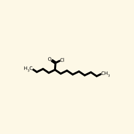 CCCCCCCCC(CCCC)C(=O)Cl